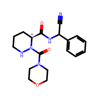 N#CC(NC(=O)[C@@H]1CCCNN1C(=O)N1CCOCC1)c1ccccc1